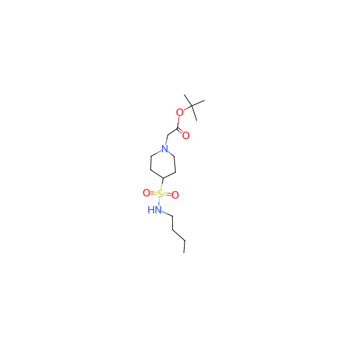 CCCCNS(=O)(=O)C1CCN(CC(=O)OC(C)(C)C)CC1